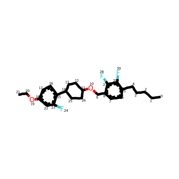 CCCCCc1ccc(COC2CCC(c3ccc(OCC)cc3F)CC2)c(F)c1F